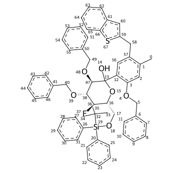 Cc1cc(OCc2ccccc2)c(C2(O)O[C@H](CO[Si](c3ccccc3)(c3ccccc3)C(C)(C)C)[C@@H](F)[C@H](OCc3ccccc3)[C@H]2OCc2ccccc2)cc1Cc1cc2ccccc2s1